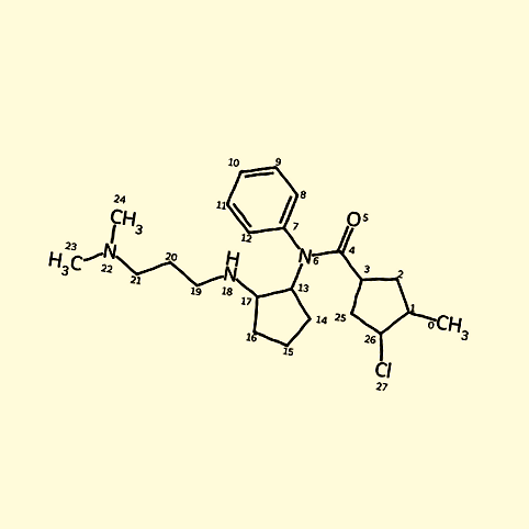 CC1CC(C(=O)N(c2ccccc2)C2CCCC2NCCCN(C)C)CC1Cl